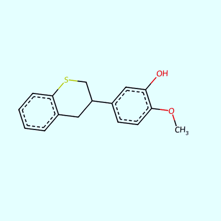 COc1ccc(C2CSc3ccccc3C2)cc1O